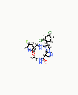 CC1CNC(=O)c2cnn3cc(-c4ccc(Cl)cc4Cl)c(nc23)NCc2cc(F)cnc2O1